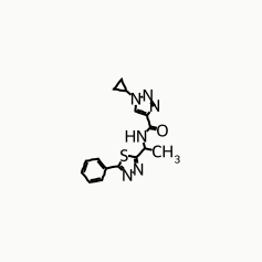 CC(NC(=O)c1cn(C2CC2)nn1)c1nnc(-c2ccccc2)s1